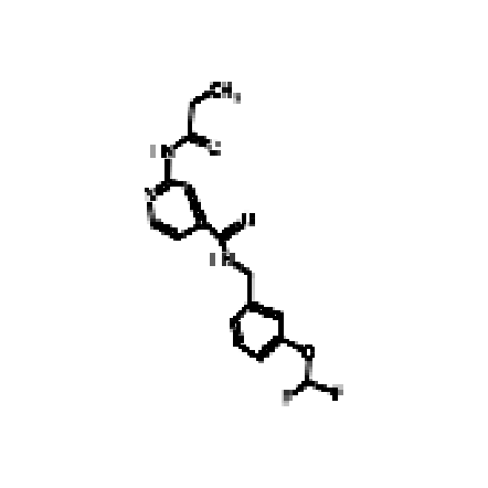 CCC(=O)Nc1cc(C(=O)NCc2cccc(OC(F)F)c2)ccn1